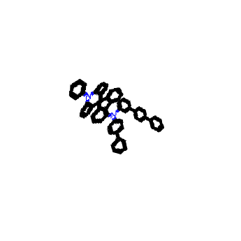 c1ccc(-c2ccc(-c3cccc(N(c4ccc(-c5ccccc5)cc4)c4cccc5c4-c4ccccc4C54c5ccccc5N(c5ccccc5)c5ccccc54)c3)cc2)cc1